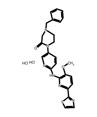 COc1ccc(-c2nccs2)nc1Nc1ccc(N2CCN(Cc3ccccc3)CC2=O)cn1.Cl.Cl